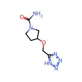 NC(=O)N1CCC(OCc2nnn[nH]2)C1